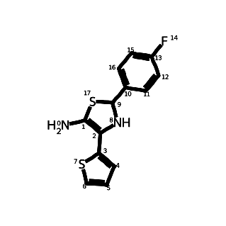 NC1=C(c2cccs2)NC(c2ccc(F)cc2)S1